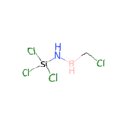 ClCBN[Si](Cl)(Cl)Cl